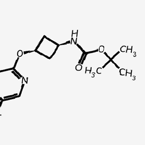 CC(C)(C)OC(=O)N[C@H]1C[C@@H](Oc2ccc(Br)cn2)C1